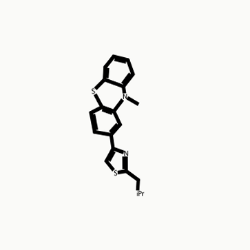 CC(C)Cc1nc(-c2ccc3c(c2)N(C)c2ccccc2S3)cs1